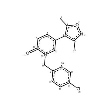 Cc1noc(C)c1-c1ccc(=O)n(Cc2ccc(Cl)cn2)c1